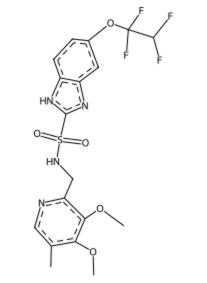 COc1c(C)cnc(CNS(=O)(=O)c2nc3cc(OC(F)(F)C(F)F)ccc3[nH]2)c1OC